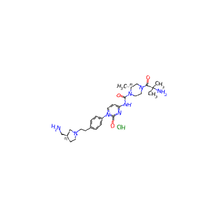 C[C@@H]1CN(C(=O)C(C)(C)N)CCN1C(=O)Nc1ccn(-c2ccc(CCN3CC[C@@H](CN)C3)cc2)c(=O)n1.Cl